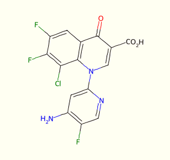 Nc1cc(-n2cc(C(=O)O)c(=O)c3cc(F)c(F)c(Cl)c32)ncc1F